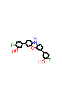 Oc1cc(-c2ccc3c(c2)Oc2cc(-c4ccc(F)c(O)c4)ccc2N3)ccc1F